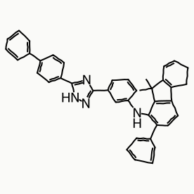 CC1(C)C2=C(CCC=C2)c2ccc(-c3ccccc3)c(Nc3cccc(-c4n[nH]c(-c5ccc(-c6ccccc6)cc5)n4)c3)c21